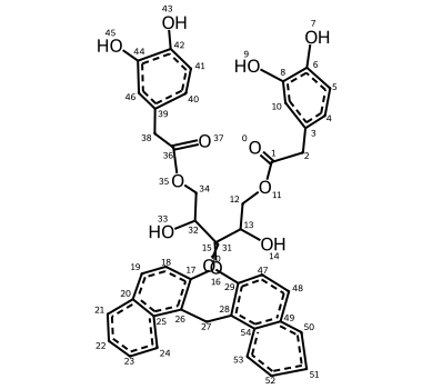 O=C(Cc1ccc(O)c(O)c1)OCC(O)COc1ccc2ccccc2c1Cc1c(OCC(O)COC(=O)Cc2ccc(O)c(O)c2)ccc2ccccc12